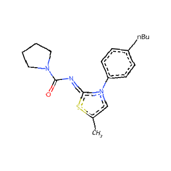 CCCCc1ccc(-n2cc(C)sc2=NC(=O)N2CCCC2)cc1